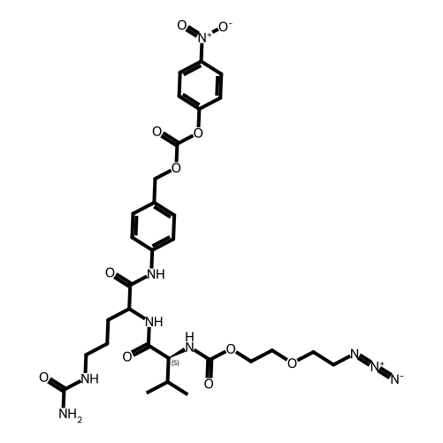 CC(C)[C@H](NC(=O)OCCOCCN=[N+]=[N-])C(=O)NC(CCCNC(N)=O)C(=O)Nc1ccc(COC(=O)Oc2ccc([N+](=O)[O-])cc2)cc1